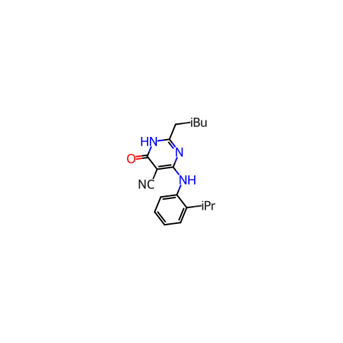 CCC(C)Cc1nc(Nc2ccccc2C(C)C)c(C#N)c(=O)[nH]1